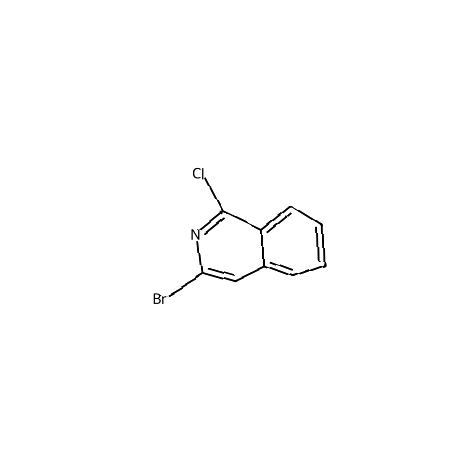 Clc1nc(Br)cc2ccccc12